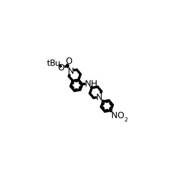 CC(C)(C)OC(=O)N1CCc2c(cccc2NC2CCN(c3ccc([N+](=O)[O-])cc3)CC2)C1